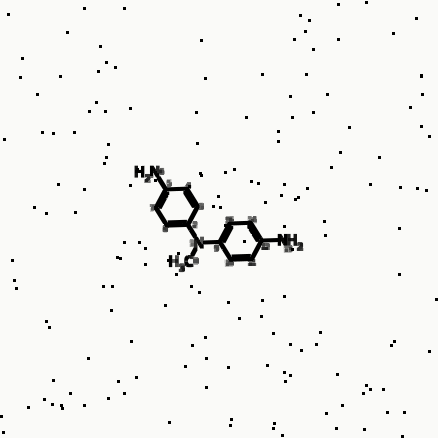 CN(c1ccc(N)cc1)c1ccc(N)cc1